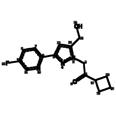 O=C(Cn1nc(-c2ccc(F)cn2)cc1CO)C1CCC1